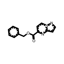 O=C(OCc1ccccc1)c1ccn2nccc2n1